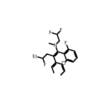 C\C=C/C(=C\C)C(/CC(F)CC)=C(\c1c(F)cccc1Cl)N(C)CC(F)F